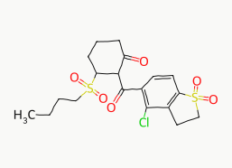 CCCCS(=O)(=O)C1CCCC(=O)C1C(=O)c1ccc2c(c1Cl)CCS2(=O)=O